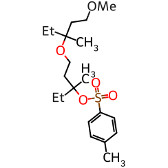 CCC(C)(CCOC)OCCC(C)(CC)OS(=O)(=O)c1ccc(C)cc1